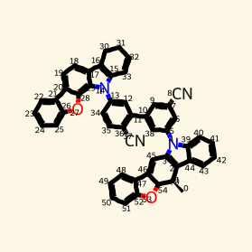 C[C@@H]1c2c(n(-c3cc(C#N)cc(-c4cc(-n5c6c(c7ccc8c9ccccc9oc8c75)CCC=C6)ccc4C#N)c3)c3ccccc23)C=C2c3ccccc3OC21